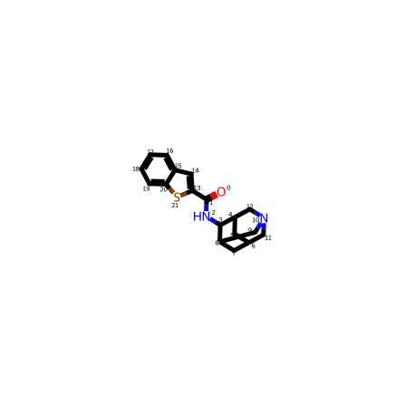 O=C(NC1C2CC3CC1CN(C3)C2)c1cc2ccccc2s1